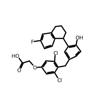 O=C(O)COc1cc(Cl)c(Cc2ccc(O)c(C3CCCc4cc(F)ccc43)c2)c(Cl)c1